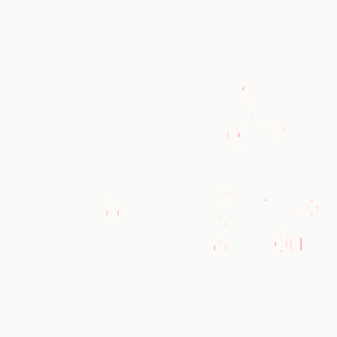 Cc1ccccc1COc1ccc(S(=O)(=O)CC2(C(=O)O)CC3OC(=O)OC3C2)cc1